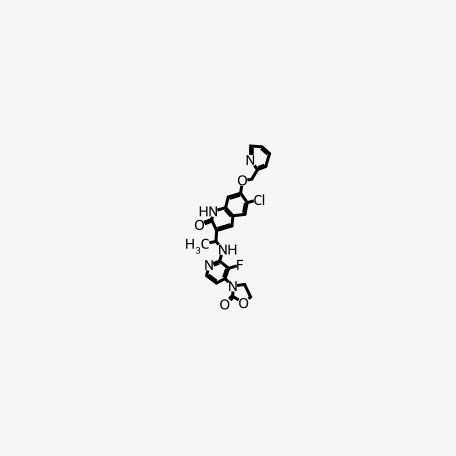 CC(Nc1nccc(N2CCOC2=O)c1F)c1cc2cc(Cl)c(OCc3ccccn3)cc2[nH]c1=O